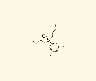 CCCC[Si](Cl)(CCCC)c1cc(C)cc(C)c1